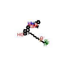 CC(C)(C)OC(=O)[C@H](Cc1ccccc1)NC(=O)Oc1ccc2c(c1)C[C@@H](CCCCCCCCC[S+]([O-])CCCC(F)(F)C(F)(F)F)[C@@H]1C2CC[C@]2(C)[C@@H](O)CC[C@@H]12